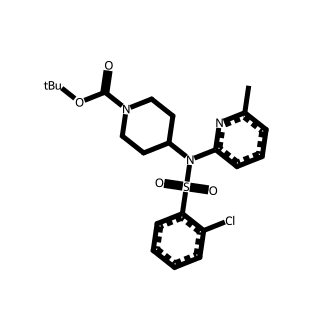 Cc1cccc(N(C2CCN(C(=O)OC(C)(C)C)CC2)S(=O)(=O)c2ccccc2Cl)n1